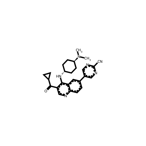 CN(C)[C@H]1CC[C@H](Nc2c(C(=O)C3CC3)cnc3ccc(-c4cnc(C#N)nc4)cc23)CC1